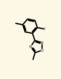 Cc1ccc(F)c(-c2noc(C)n2)c1